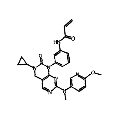 C=CC(=O)Nc1cccc(N2C(=O)N(C3CC3)Cc3cnc(N(C)c4ccc(OC)nc4)nc32)c1